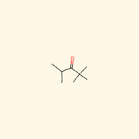 [CH2]C(C)C(=O)C(C)(C)C